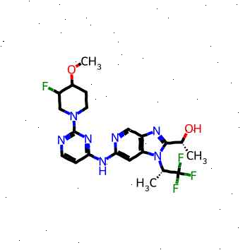 COC1CCN(c2nccc(Nc3cc4c(cn3)nc([C@@H](C)O)n4[C@@H](C)C(F)(F)F)n2)CC1F